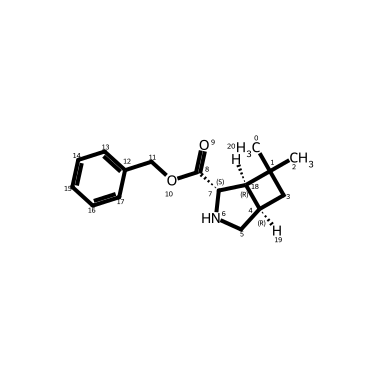 CC1(C)C[C@H]2CN[C@H](C(=O)OCc3ccccc3)[C@H]21